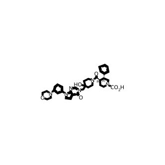 O=C(O)N1CC[C@@H](C(=O)N2CCC(O)(Cn3cnc4c(ccn4-c4cccc(N5CCOCC5)c4)c3=O)CC2)[C@H](c2ccccc2)C1